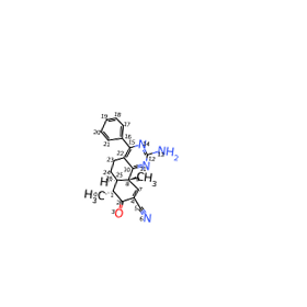 C[C@H]1C(=O)C(C#N)=C[C@@]2(C)c3nc(N)nc(-c4ccccc4)c3CC[C@H]12